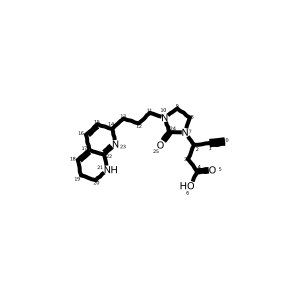 C#CC(CC(=O)O)N1CCN(CCCC2C=CC3=CCCNC3=N2)C1=O